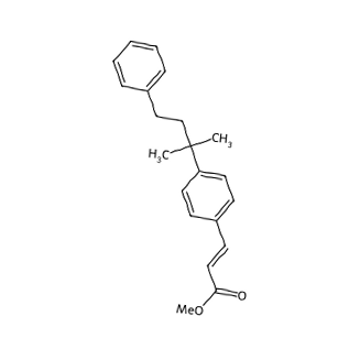 COC(=O)/C=C/c1ccc(C(C)(C)CCc2ccccc2)cc1